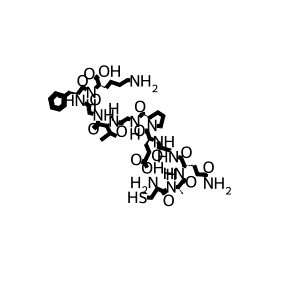 CC(C)[C@H](NC(=O)CNC(=O)[C@@H]1CCCN1C(=O)[C@H](CCC(=O)O)NC(=O)CNC(=O)[C@H](CCC(N)=O)NC(=O)[C@H](C)NC(=O)[C@@H](N)CS)C(=O)NCC(=O)N[C@@H](Cc1ccccc1)C(=O)N[C@@H](CCCCN)C(=O)O